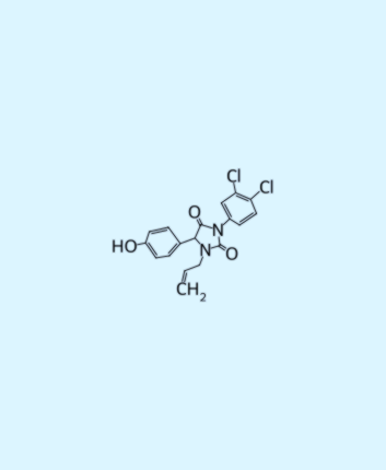 C=CCN1C(=O)N(c2ccc(Cl)c(Cl)c2)C(=O)C1c1ccc(O)cc1